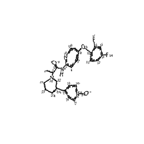 CC(C(=O)Nc1ccc(Oc2ccc(F)cc2F)cn1)N1CCCC(c2cc[n+]([O-])cc2)C1